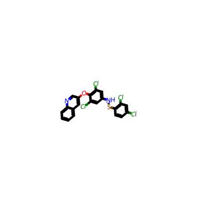 Clc1ccc(SNc2cc(Cl)c(Oc3cnc4ccccc4c3)c(Cl)c2)c(Cl)c1